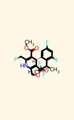 COC(=O)C1=C(CF)NC2=C(C(=O)OC2)[C@H]1c1cc(F)cc(F)c1C(C)C(C)(F)F